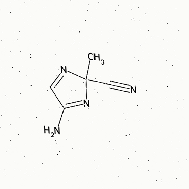 CC1(C#N)N=CC(N)=N1